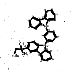 CC(C)(C)CC(C)(C)c1ccc2c(c1)c1ccccc1n2-c1cccc(-n2c3ccccc3c3ccccc32)c1